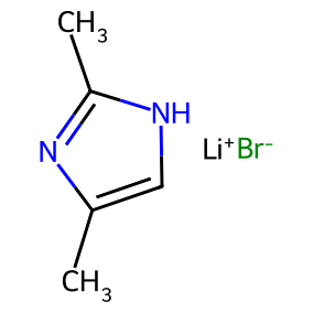 Cc1c[nH]c(C)n1.[Br-].[Li+]